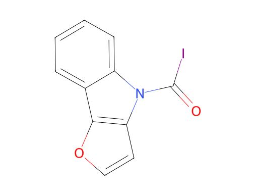 O=C(I)n1c2ccccc2c2occc21